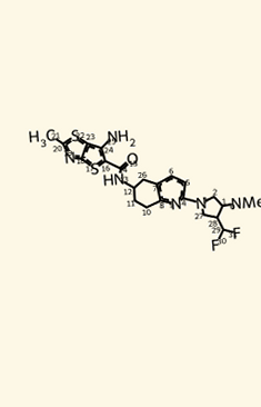 CNC1CN(c2ccc3c(n2)CCC(NC(=O)c2sc4nc(C)sc4c2N)C3)CC1C(F)F